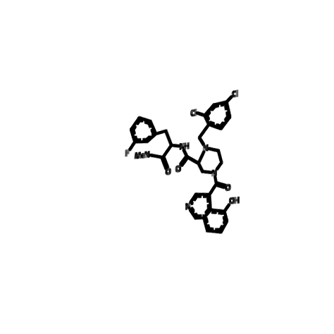 CNC(=O)C(Cc1cccc(F)c1)NC(=O)C1CN(C(=O)c2cncc3cccc(O)c23)CCN1Cc1ccc(Cl)cc1Cl